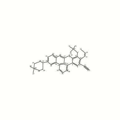 C#Cc1cc2c(c(CC(C)(C)C)c1/C=C\C)Sc1cc3ccc(C4CCC(C)(C)CC4)cc3c3ccnc-2c13